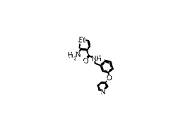 CC/C=C\C(C(=O)NCc1cccc(Oc2cccnc2)c1)=C(/C)N